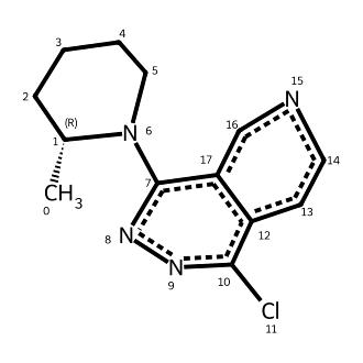 C[C@@H]1CCCCN1c1nnc(Cl)c2ccncc12